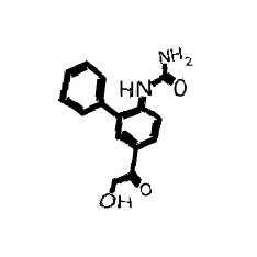 NC(=O)Nc1ccc(C(=O)CO)cc1-c1ccccc1